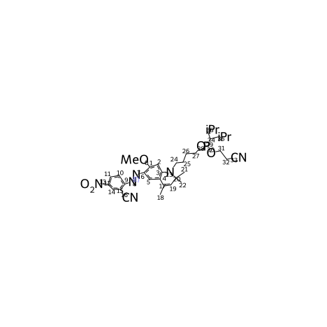 COc1cc2c(cc1/N=N/c1ccc([N+](=O)[O-])cc1C#N)C(C)=CC(C)(C)N2CCCCOP(OCCC#N)C(C(C)C)C(C)C